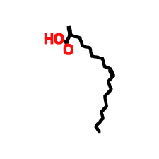 C=C(CCCCCC/C=C\CCCCCCCC)C(=O)O